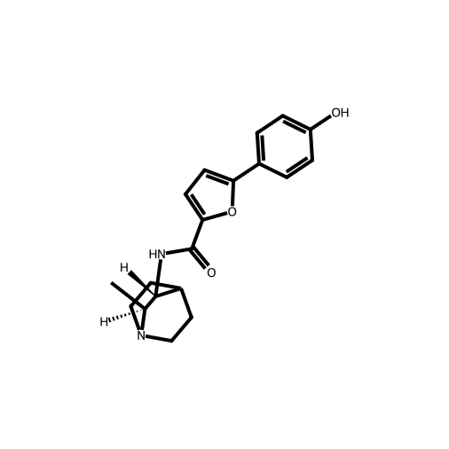 C[C@H]1[C@H](NC(=O)c2ccc(-c3ccc(O)cc3)o2)C2CCN1CC2